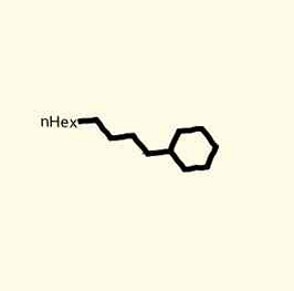 CCCCCCCCC[CH]C1CCCCC1